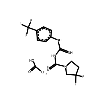 CC(=O)O.N=C(NC(=N)N1CCC(F)(F)C1)Nc1ccc(C(F)(F)F)cc1